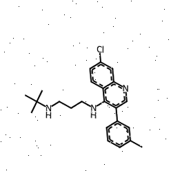 Cc1cccc(-c2cnc3cc(Cl)ccc3c2NCCCNC(C)(C)C)c1